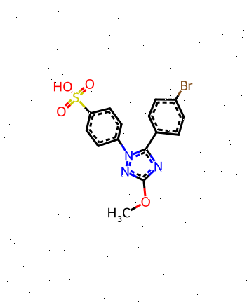 COc1nc(-c2ccc(Br)cc2)n(-c2ccc(S(=O)(=O)O)cc2)n1